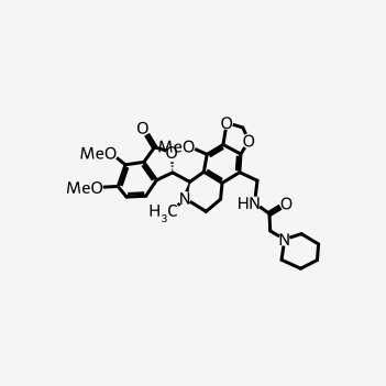 COc1ccc2c(c1OC)C(=O)O[C@@H]2[C@H]1c2c(c(CNC(=O)CN3CCCCC3)c3c(c2OC)OCO3)CCN1C